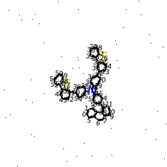 c1ccc2c(c1)ccc1cccc(-c3ccc(N(c4ccc(-c5ccc6sc7ccccc7c6c5)cc4)c4ccc(-c5cccc6c5sc5ccccc56)cc4)cc3)c12